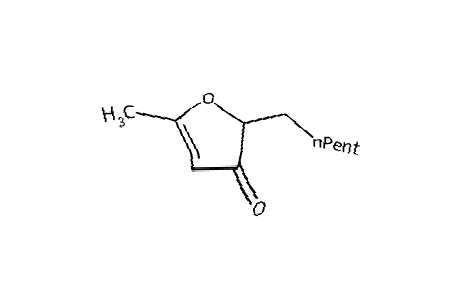 CCCCCCC1OC(C)=CC1=O